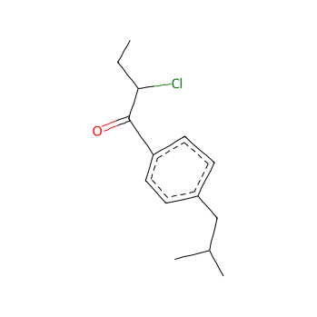 CCC(Cl)C(=O)c1ccc(CC(C)C)cc1